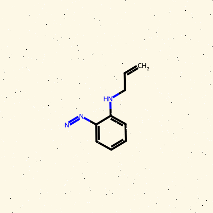 C=CCNc1ccccc1N=[N]